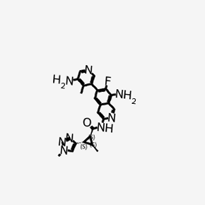 Cc1c(N)cncc1-c1cc2cc(NC(=O)[C@H]3[C@@H](C)[C@@H]3c3cn(C)nn3)ncc2c(N)c1F